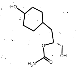 NC(=O)O[C@@H](CO)CC1CCC(O)CC1